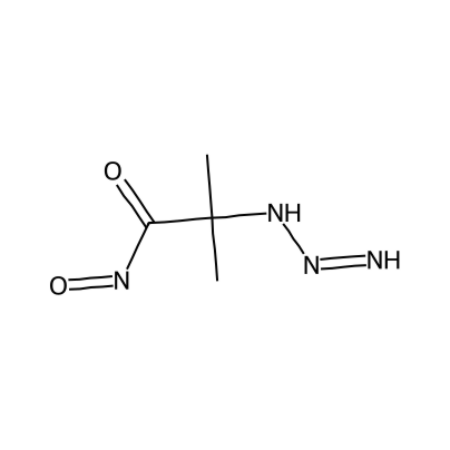 CC(C)(NN=N)C(=O)N=O